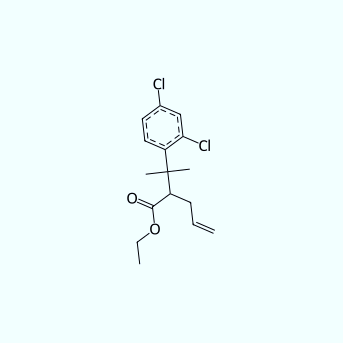 C=CCC(C(=O)OCC)C(C)(C)c1ccc(Cl)cc1Cl